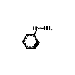 NNc1c#cccc1